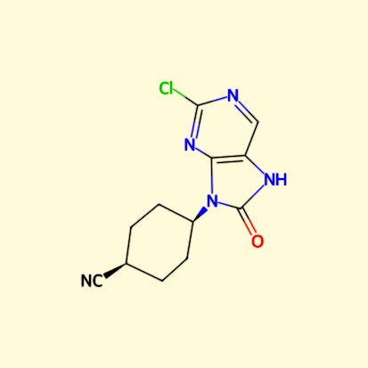 N#C[C@H]1CC[C@@H](n2c(=O)[nH]c3cnc(Cl)nc32)CC1